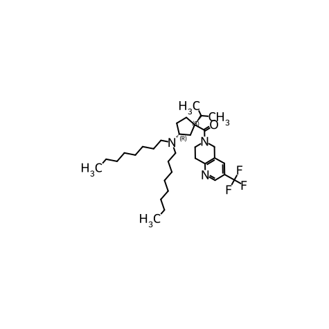 CCCCCCCCN(CCCCCCCC)[C@@H]1CC[C@@](C(=O)N2CCc3ncc(C(F)(F)F)cc3C2)(C(C)C)C1